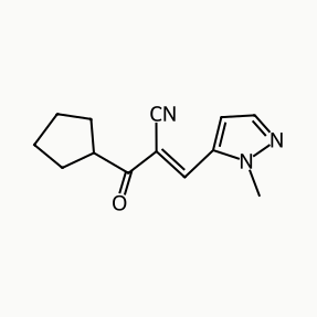 Cn1nccc1/C=C(\C#N)C(=O)C1CCCC1